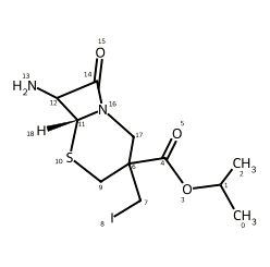 CC(C)OC(=O)C1(CI)CS[C@@H]2C(N)C(=O)N2C1